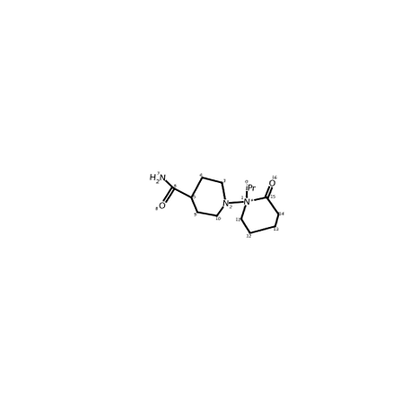 CC(C)[N+]1(N2CCC(C(N)=O)CC2)CCC[CH]C1=O